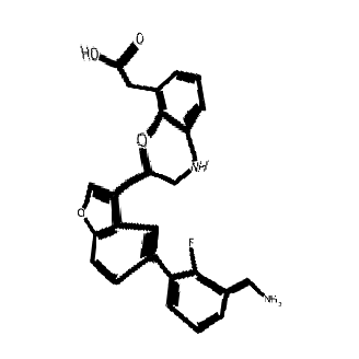 NCc1cccc(-c2ccc3occ(C4CNc5cccc(CC(=O)O)c5O4)c3c2)c1F